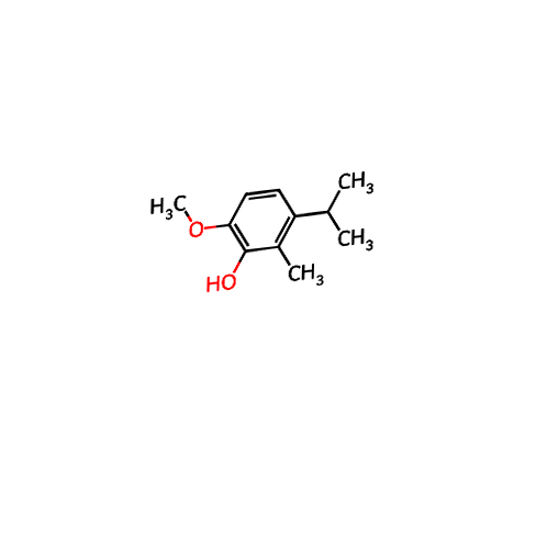 COc1ccc(C(C)C)c(C)c1O